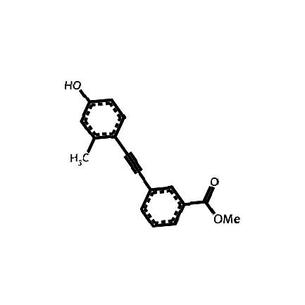 COC(=O)c1cccc(C#Cc2ccc(O)cc2C)c1